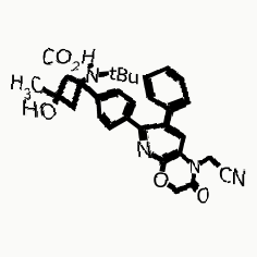 CC1(O)CC(c2ccc(-c3nc4c(cc3-c3ccccc3)N(CC#N)C(=O)CO4)cc2)(N(C(=O)O)C(C)(C)C)C1